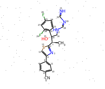 C[C@@H](c1nc(-c2ccc(C#N)cc2)cs1)[C@](O)(CN/C=N\C=N)c1ccc(F)cc1F